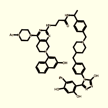 CC(=O)N1CCN(c2nc(NCCC(=O)NC(C)c3ccc(CN4CCC(Cc5ccc(-n6c(O)nnc6-c6cc(C(C)C)c(O)cc6O)cc5)CC4)cc3)nc3c2CCN(c2cc(O)cc4ccccc24)C3)CC1